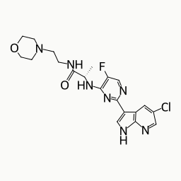 C[C@H](Nc1nc(-c2c[nH]c3ncc(Cl)cc23)ncc1F)C(=O)NCCN1CCOCC1